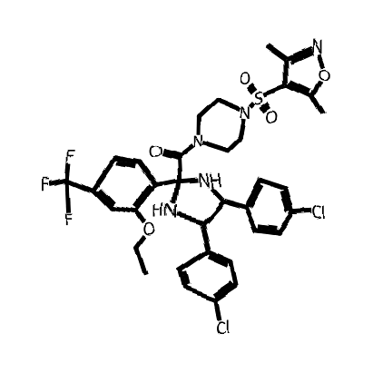 CCOc1cc(C(F)(F)F)ccc1C1(C(=O)N2CCN(S(=O)(=O)c3c(C)noc3C)CC2)NC(c2ccc(Cl)cc2)C(c2ccc(Cl)cc2)N1